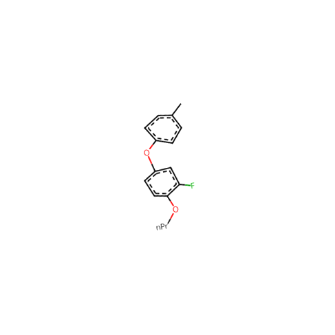 CCCOc1ccc(Oc2ccc(C)cc2)cc1F